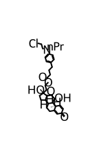 CCCN(CCCl)c1ccc(CCCC(=O)OCC(=O)[C@@]2(O)CC[C@H]3[C@@H]4CCC5=CC(=O)C=C[C@]5(C)[C@H]4[C@@H](O)C[C@@]32C)cc1